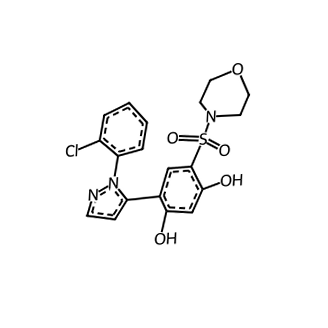 O=S(=O)(c1cc(-c2ccnn2-c2ccccc2Cl)c(O)cc1O)N1CCOCC1